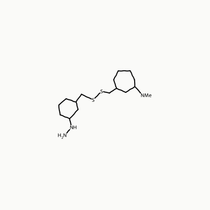 CNC1CCCCC(CSSCC2CCCC(NN)C2)C1